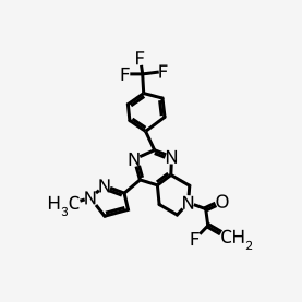 C=C(F)C(=O)N1CCc2c(nc(-c3ccc(C(F)(F)F)cc3)nc2-c2ccn(C)n2)C1